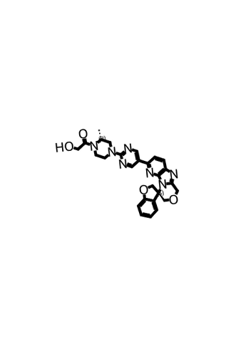 C[C@@H]1CN(c2ncc(-c3ccc4nc5n(c4n3)[C@@]3(COC5)COc4ccccc43)cn2)CCN1C(=O)CO